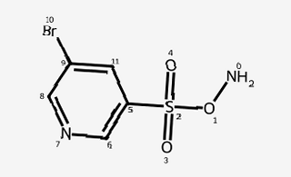 NOS(=O)(=O)c1cncc(Br)c1